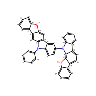 c1ccc(-n2c3ccc(-n4c5ccccc5c5ccc6c7ccccc7oc6c54)cc3c3cc4oc5ccccc5c4cc32)cc1